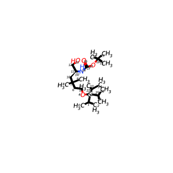 CC(C)[Si](OCCC(C)(C)C[C@@H](CO)NC(=O)OC(C)(C)C)(C(C)C)C(C)C